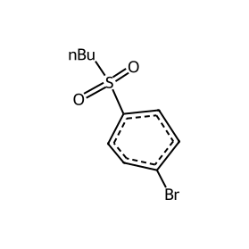 CCCCS(=O)(=O)c1ccc(Br)cc1